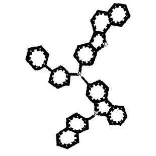 c1ccc(-c2cccc(N(c3ccc4c(c3)oc3c5ccccc5ccc43)c3ccc4c5ccccc5n(-c5ccc6ccccc6c5)c4c3)c2)cc1